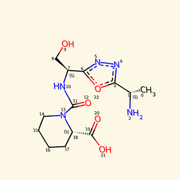 C[C@H](N)c1nnc([C@H](CO)NC(=O)N2CCCC[C@H]2C(=O)O)o1